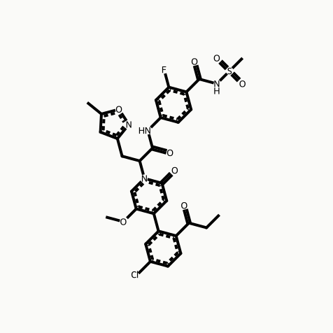 CCC(=O)c1ccc(Cl)cc1-c1cc(=O)n(C(Cc2cc(C)on2)C(=O)Nc2ccc(C(=O)NS(C)(=O)=O)c(F)c2)cc1OC